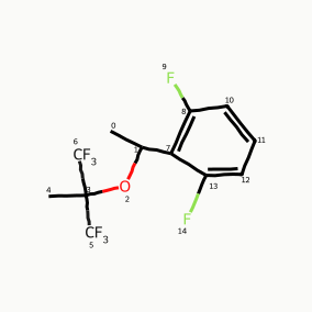 CC(OC(C)(C(F)(F)F)C(F)(F)F)c1c(F)cccc1F